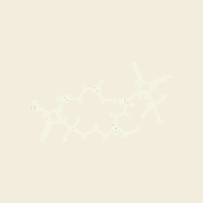 CCN(C)CCNC1=C(C(C)(C)CCCN(CC)CCNc2c(C(C)(C)C)c(=S)c2=S)C(=O)C1S